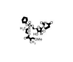 COCC(C)C(=O)OC[C@H](C)NP(=O)(OC[C@H]1O[C@@H](n2ccc(=O)[nH]c2=O)[C@](Cl)(Br)[C@@H]1O)Oc1ccccc1